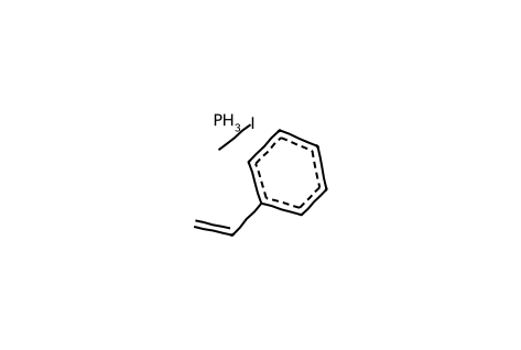 C=Cc1ccccc1.CI.P